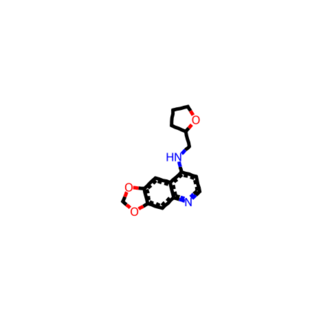 c1cc(NCC2CCCO2)c2cc3c(cc2n1)OCO3